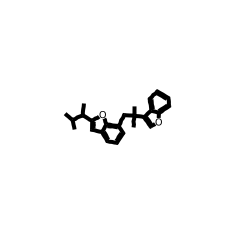 CC(C)C(C)c1cc2cccc(CC(C)(C)c3coc4ccccc34)c2o1